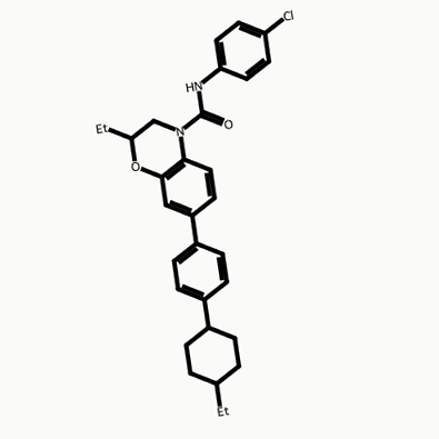 CCC1CCC(c2ccc(-c3ccc4c(c3)OC(CC)CN4C(=O)Nc3ccc(Cl)cc3)cc2)CC1